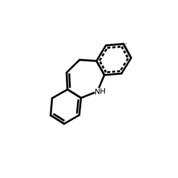 [c]1ccc2c(c1)CC=C1CC=CC=C1N2